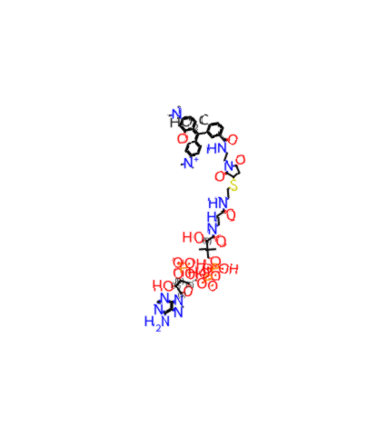 CN(C)c1ccc2c(-c3cc(C(=O)NCCN4C(=O)CC(SCCNC(=O)CCNC(=O)[C@H](O)C(C)(C)COP(=O)(O)OP(=O)(O)OC[C@@H]5O[C@H](n6cnc7c(N)ncnc76)[C@@H](O)[C@H]5OP(=O)(O)O)C4=O)ccc3C(=O)O)c3ccc(=[N+](C)C)cc-3oc2c1